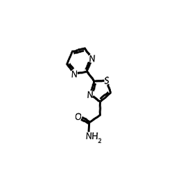 NC(=O)Cc1csc(-c2ncccn2)n1